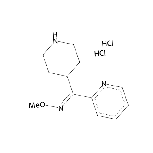 CON=C(c1ccccn1)C1CCNCC1.Cl.Cl